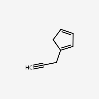 C#CCC1=CC=CC1